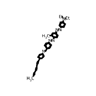 CC#CC#CC#Cc1ccc(N=Cc2ccc(N=Nc3ccc(N=Nc4ccc(N(CC)CC)cc4)cc3C)cc2)cc1